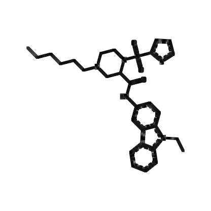 CCCCCCN1CCN(S(=O)(=O)c2cccs2)C(C(=O)Nc2ccc3c(c2)c2ccccc2n3CC)C1